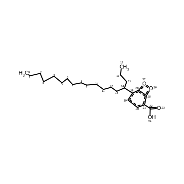 CCCCCCCCCCCCCCC(CCC)c1ccc(C(=O)O)c2ooc12